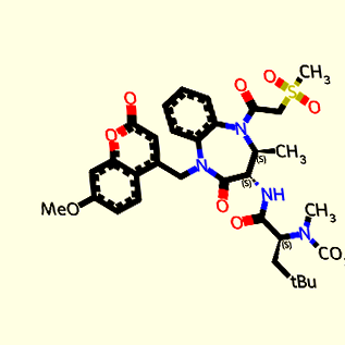 COc1ccc2c(CN3C(=O)[C@@H](NC(=O)[C@H](CC(C)(C)C)N(C)C(=O)O)[C@H](C)N(C(=O)CS(C)(=O)=O)c4ccccc43)cc(=O)oc2c1